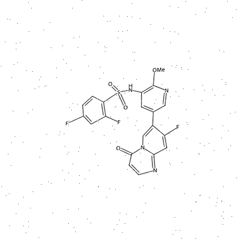 COc1ncc(-c2cn3c(=O)ccnc3cc2F)cc1NS(=O)(=O)c1ccc(F)cc1F